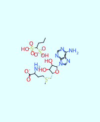 CCCC(S(=O)(=O)O)S(=O)(=O)O.C[S+](CCC(N)C(=O)[O-])C[C@H]1O[C@@H](n2cnc3c(N)ncnc32)[C@H](O)[C@@H]1O